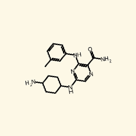 Cc1cccc(Nc2nc(NC3CCC(N)CC3)cnc2C(N)=O)c1